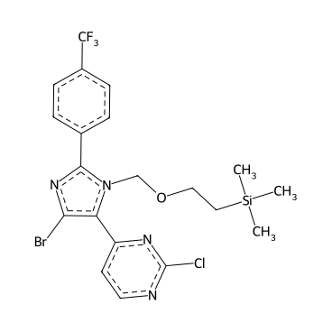 C[Si](C)(C)CCOCn1c(-c2ccc(C(F)(F)F)cc2)nc(Br)c1-c1ccnc(Cl)n1